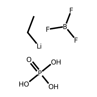 FB(F)F.O=P(O)(O)O.[Li][CH2]C